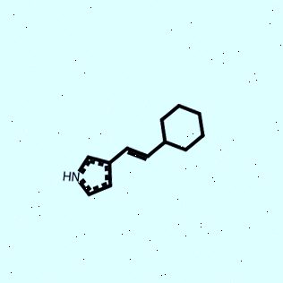 C(=CC1CCCCC1)c1cc[nH]c1